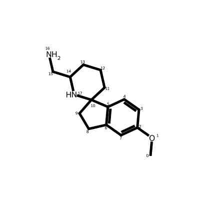 COc1ccc2c(c1)CCC21CCCC(CN)N1